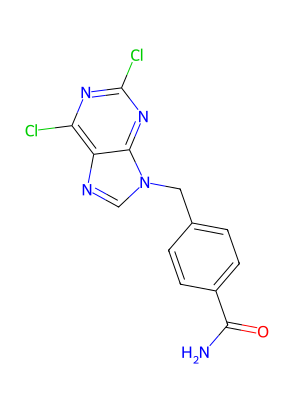 NC(=O)c1ccc(Cn2cnc3c(Cl)nc(Cl)nc32)cc1